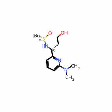 CN(C)c1cccc([C@@H](CCO)N[S@@+]([O-])C(C)(C)C)n1